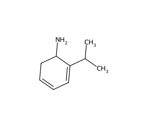 CC(C)C1=CC=CCC1N